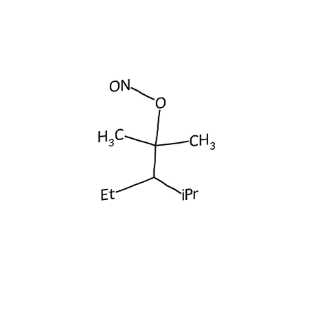 CCC(C(C)C)C(C)(C)ON=O